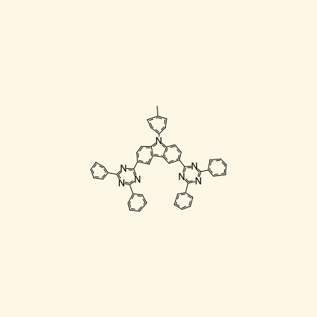 Cc1ccc(-n2c3ccc(-c4nc(-c5ccccc5)nc(-c5ccccc5)n4)cc3c3cc(-c4nc(-c5ccccc5)nc(-c5ccccc5)n4)ccc32)cc1